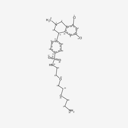 CN1Cc2c(Cl)cc(Cl)cc2C(c2ccc(S(=O)(=O)NCCOCCOCCN)cc2)C1